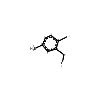 Bc1ccc(I)c(CF)c1